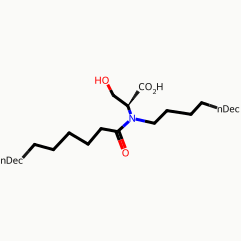 CCCCCCCCCCCCCCCC(=O)N(CCCCCCCCCCCCCC)[C@@H](CO)C(=O)O